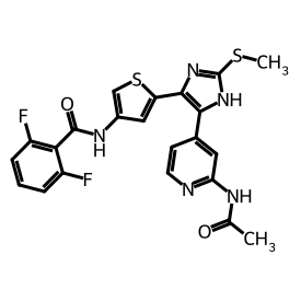 CSc1nc(-c2cc(NC(=O)c3c(F)cccc3F)cs2)c(-c2ccnc(NC(C)=O)c2)[nH]1